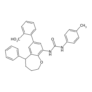 Cc1ccc(NC(=O)Nc2cc(-c3ccccc3C(=O)O)cc3c2OCCCC3c2ccccc2)cc1